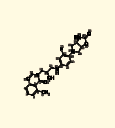 Cc1ccccc1C(=O)N(C=O)CC(O)CNc1ccc(N2CC3NC(=O)OC3C2)c(F)c1